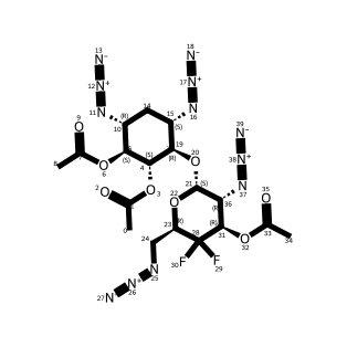 CC(=O)O[C@@H]1[C@@H](OC(C)=O)[C@H](N=[N+]=[N-])C[C@H](N=[N+]=[N-])[C@H]1O[C@H]1O[C@H](CN=[N+]=[N-])C(F)(F)[C@H](OC(C)=O)[C@H]1N=[N+]=[N-]